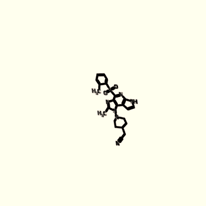 Cc1ccccc1S(=O)(=O)c1nc2[nH]ccc2c2c1nc(C)n2N1CCC(CC#N)CC1